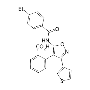 CCc1ccc(C(=O)Nc2onc(-c3ccsc3)c2-c2ccccc2C(=O)O)cc1